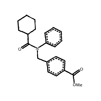 COC(=O)c1ccc(CN(C(=O)C2CCCCC2)c2ccccc2)cc1